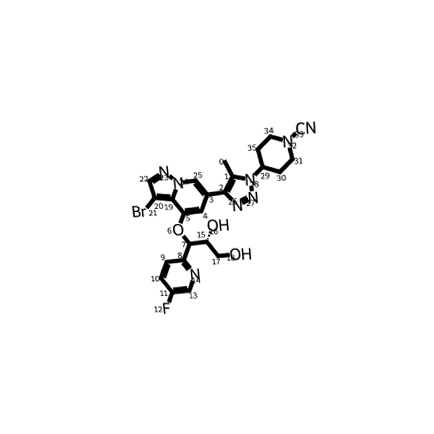 Cc1c(-c2cc(OC(c3ccc(F)cn3)[C@H](O)CO)c3c(Br)cnn3c2)nnn1C1CCN(C#N)CC1